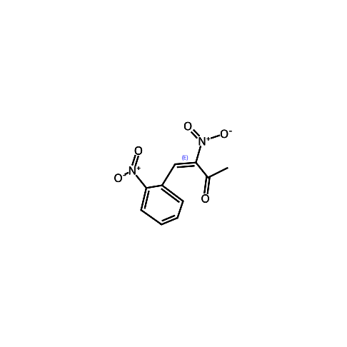 CC(=O)/C(=C\c1ccccc1[N+](=O)[O-])[N+](=O)[O-]